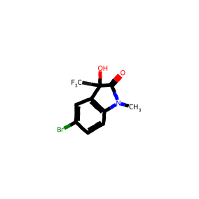 CN1C(=O)C(O)(C(F)(F)F)c2cc(Br)ccc21